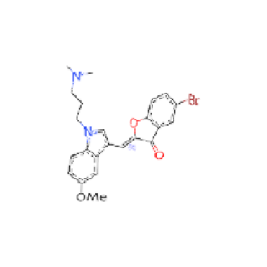 COc1ccc2c(c1)c(/C=C1\Oc3ccc(Br)cc3C1=O)cn2CCCN(C)C